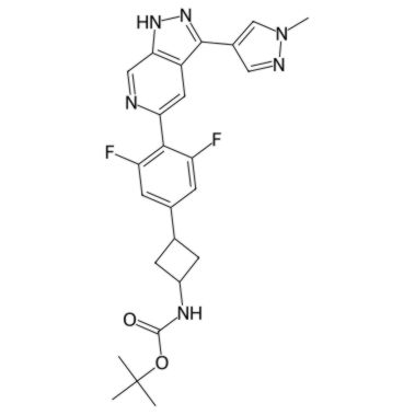 Cn1cc(-c2n[nH]c3cnc(-c4c(F)cc(C5CC(NC(=O)OC(C)(C)C)C5)cc4F)cc23)cn1